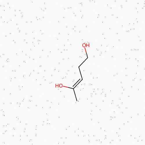 [CH2]C(O)=CCCO